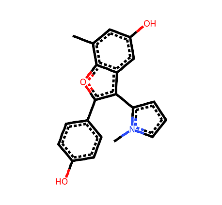 Cc1cc(O)cc2c(-c3cccn3C)c(-c3ccc(O)cc3)oc12